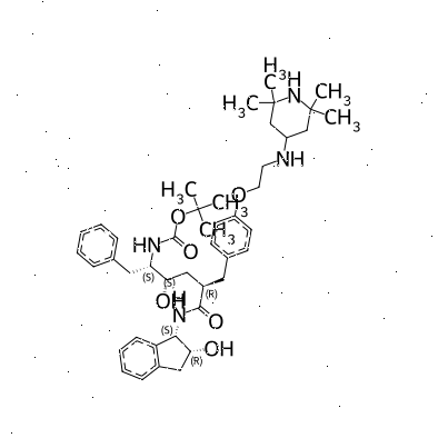 CC1(C)CC(NCCOc2ccc(C[C@H](C[C@H](O)[C@H](Cc3ccccc3)NC(=O)OC(C)(C)C)C(=O)N[C@H]3c4ccccc4C[C@H]3O)cc2)CC(C)(C)N1